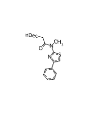 CCCCCCCCCCCC(=O)N(C)c1nc(-c2ccccc2)cs1